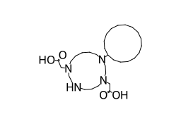 O=C(O)CN1CCCCCN(C2CCCCCCCCCCCCCCC2)CCN(CC(=O)O)CCCNCC1